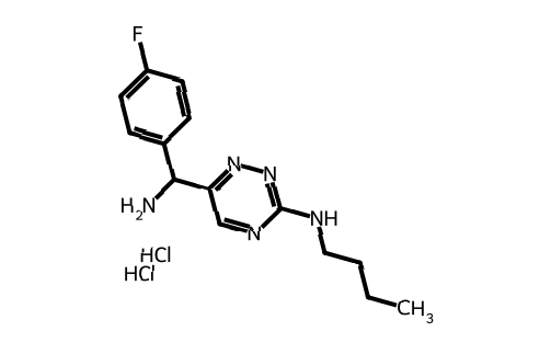 CCCCNc1ncc(C(N)c2ccc(F)cc2)nn1.Cl.Cl